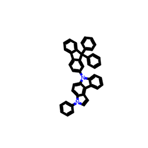 c1ccc(-n2ccc3c4c5ccccc5n(-c5ccc6c(c5)C(c5ccccc5)(c5ccccc5)c5ccccc5-6)c4ccc32)cc1